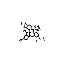 COC(=O)c1cc(C#N)ccc1NC(C)c1cc(C)cc2c(=O)n(C)c(N3CCC(C)(C)CC3)nc12